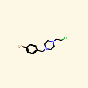 ClCCN1CCN(Cc2ccc(Br)cc2)CC1